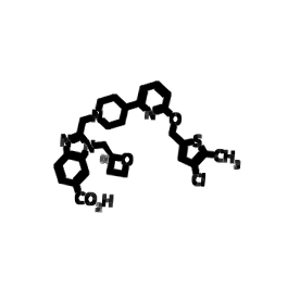 Cc1sc(COc2cccc(C3CCN(Cc4nc5ccc(C(=O)O)cc5n4C[C@@H]4CCO4)CC3)n2)cc1Cl